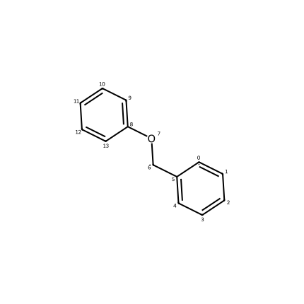 [c]1ccccc1[CH]Oc1ccccc1